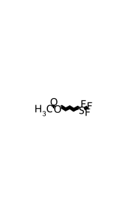 CC(=O)OCCCCCSC(F)(F)F